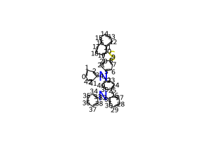 c1ccc(N(c2ccc3sc4c5ccccc5ccc4c3c2)c2ccc3c4ccccc4n(-c4ccccc4)c3c2)cc1